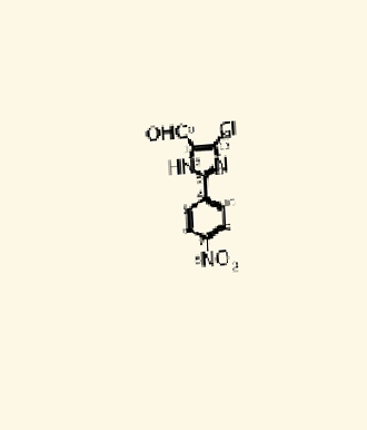 O=Cc1[nH]c(-c2ccc([N+](=O)[O-])cc2)nc1Cl